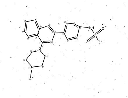 CCCCS(=O)(=O)Nc1ccc(-c2cc3ccccc3c(N3CCN(CC)CC3)n2)cc1